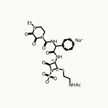 CCN1CCN(C(=O)NC(C(=O)N[C@@H]2C(=O)N(S(=O)(=O)[O-])[C@@H]2SCCNC(C)=O)c2ccccc2)C(=O)C1=O.[Na+]